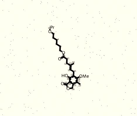 [CH2]C([CH2])OCCCCCCOC(=O)CC/C(C)=C/Cc1c(O)c2c(c(C)c1OC)COC2=O